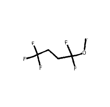 [CH2]OC(F)(F)CCC(F)(F)F